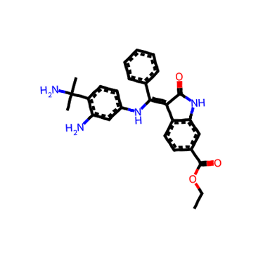 CCOC(=O)c1ccc2c(c1)NC(=O)C2=C(Nc1ccc(C(C)(C)N)c(N)c1)c1ccccc1